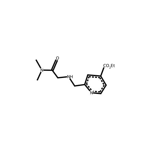 CCOC(=O)c1ccnc(CNCC(=O)N(C)C)c1